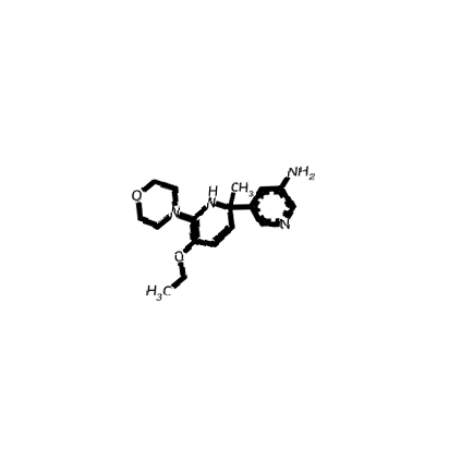 CCOC1=C(N2CCOCC2)NC(C)(c2cncc(N)c2)C=C1